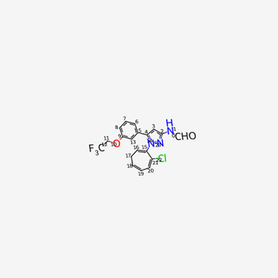 O=CNc1cc(-c2cccc(OCC(F)(F)F)c2)n(C2=CCC=CC=C2Cl)n1